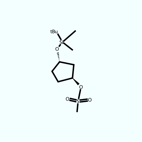 CC(C)(C)[Si](C)(C)O[C@H]1CC[C@H](OS(C)(=O)=O)C1